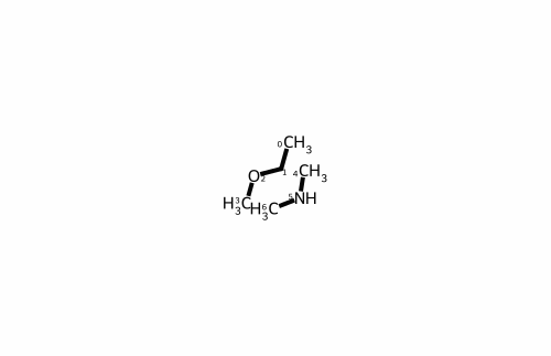 CCOC.CNC